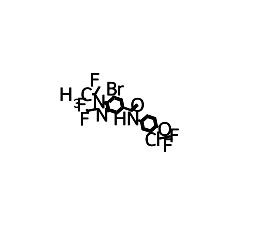 CC(CF)n1c(C(F)F)nc2cc(C(=O)Nc3ccc(OC(F)(F)Cl)cc3)cc(Br)c21